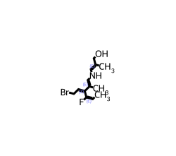 C\C=C(F)/C(=C\CBr)C(/C)=C/N/C=C(\C)CO